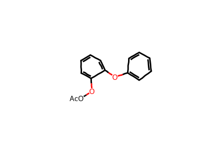 CC(=O)OOc1ccccc1Oc1ccccc1